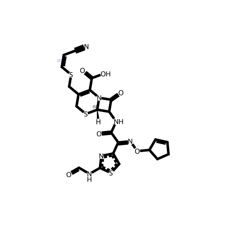 N#C/C=C\SCC1=C(C(=O)O)N2C(=O)C(NC(=O)C(=NOC3C=CCC3)c3csc(NC=O)n3)[C@@H]2SC1